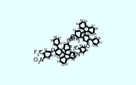 O=[N+]([O-])c1ccc(Oc2ccc(C3(c4ccc(O[SiH2]Oc5ccc(C6(c7ccc(Oc8ccc([N+](=O)[O-])c(C(F)(F)F)c8)c(-c8ccccc8)c7)c7ccccc7-c7ccccc76)cc5)cc4)c4ccccc4-c4ccccc43)cc2-c2ccccc2)cc1C(F)(F)F